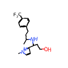 CC(CCc1ccc(C(F)(F)F)cc1)NC(CCO)c1ccn(C)n1